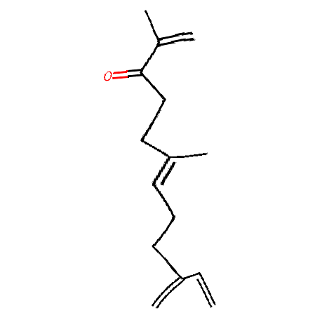 C=CC(=C)CC/C=C(\C)CCC(=O)C(=C)C